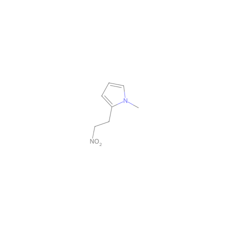 Cn1cccc1CC[N+](=O)[O-]